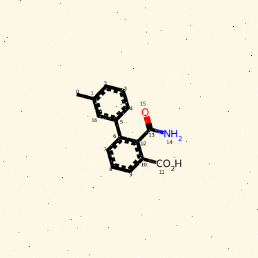 Cc1cccc(-c2cccc(C(=O)O)c2C(N)=O)c1